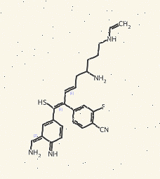 C=CNCCCC(N)C/C=C/C(=C(\S)C1=C/C(=C/N)C(=N)C=C1)c1ccc(C#N)c(F)c1